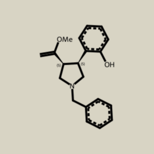 C=C(OC)[C@@H]1CN(Cc2ccccc2)C[C@@H]1c1ccccc1O